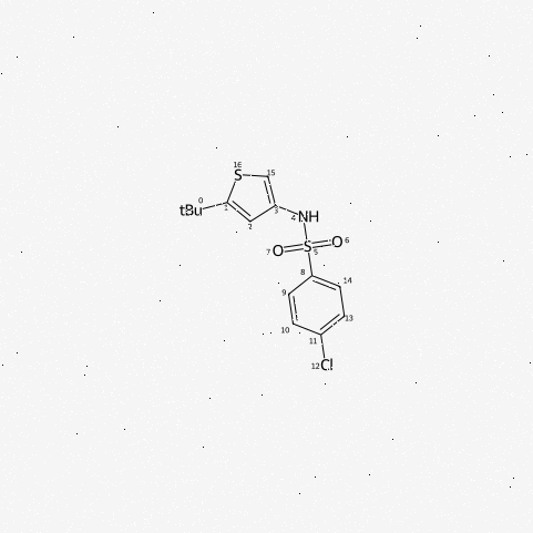 CC(C)(C)c1cc(NS(=O)(=O)c2ccc(Cl)cc2)cs1